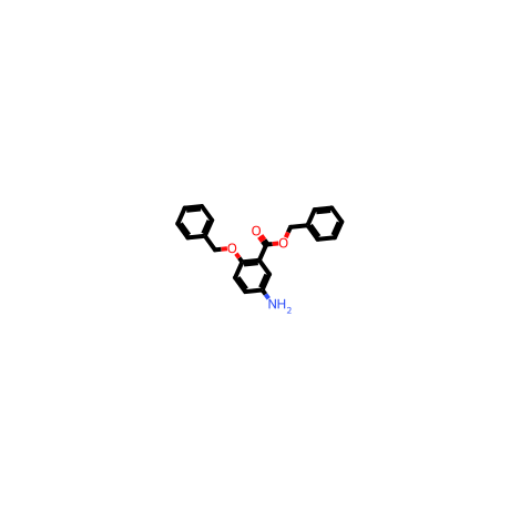 Nc1ccc(OCc2ccccc2)c(C(=O)OCc2ccccc2)c1